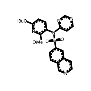 COc1nc(OCC(C)C)ccc1N(c1ccncn1)S(=O)(=O)c1ccc2cnccc2c1